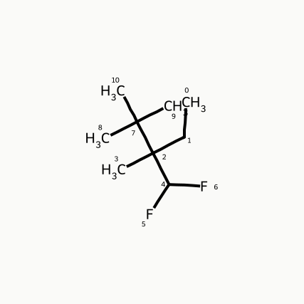 CCC(C)(C(F)F)C(C)(C)C